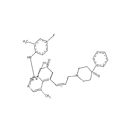 CC1=CN=C2N=C(Nc3ccc(F)cc3C)N(C)C23CC(=O)CC(/C=C\CN2CCP(=O)(c4ccccc4)CC2)=C13